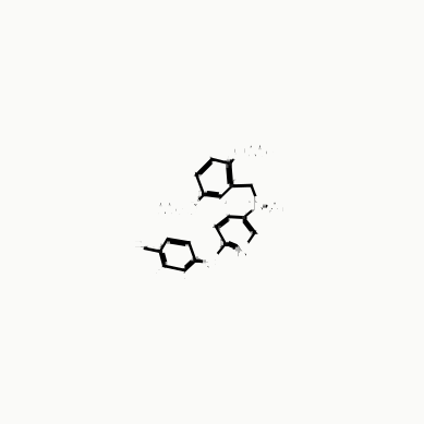 COc1ccc(OC)c(CN(C(C)=O)c2ccc(Oc3ccc(F)cc3)nc2)c1